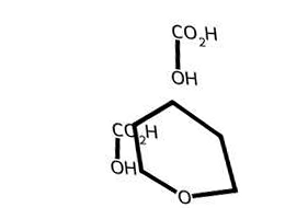 C1CCOCC1.O=C(O)O.O=C(O)O